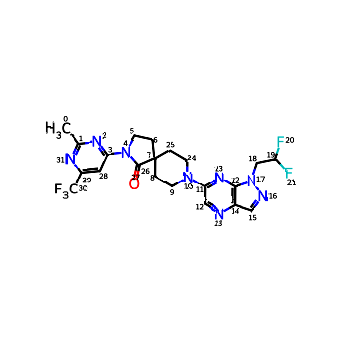 Cc1nc(N2CCC3(CCN(c4cnc5cnn(CC(F)F)c5n4)CC3)C2=O)cc(C(F)(F)F)n1